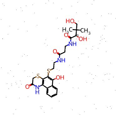 CC(C)(CO)[C@@H](O)C(=O)NCCC(=O)NCCSc1c2c(c3ccccc3c1O)NC(=O)CS2